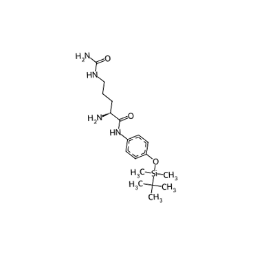 CC(C)(C)[Si](C)(C)Oc1ccc(NC(=O)[C@@H](N)CCCNC(N)=O)cc1